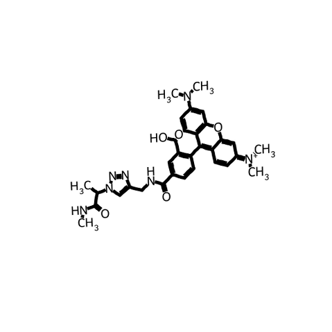 CNC(=O)C(C)n1cc(CNC(=O)c2ccc(-c3c4ccc(=[N+](C)C)cc-4oc4cc(N(C)C)ccc34)c(C(=O)O)c2)nn1